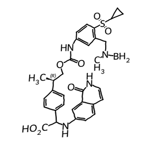 BN(C)Cc1cc(NC(=O)OC[C@H](C)c2ccc(C(Nc3ccc4cc[nH]c(=O)c4c3)C(=O)O)cc2)ccc1S(=O)(=O)C1CC1